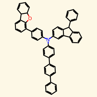 C1=CC2Oc3c(-c4ccc(N(c5ccc(-c6ccc(-c7ccccc7)cc6)cc5)c5ccc6c(c5)-c5ccccc5C6c5ccccc5)cc4)cccc3C2C=C1